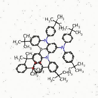 CC(C)(C)c1ccc(N(c2ccc(C(C)(C)C)cc2)c2cc3c4c(c2)N(c2ccc(C(C)(C)C)cc2-c2ccccc2)c2cc5c(cc2B4c2cc(C(C)(C)C)ccc2N3c2ccc(C(C)(C)C)cc2)C(C)(C)c2ccccc2C5(C)C)cc1